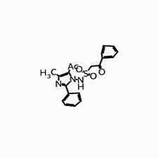 CC(=O)c1c(C)nc(-c2ccccc2)n1NS(=O)(=O)CC(=O)c1ccccc1